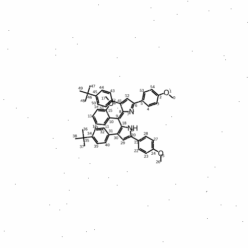 COc1ccc(C2=N/C(=C(/c3ccccc3OC)c3[nH]c(-c4ccc(OC)cc4)cc3-c3ccc(C(C)(C)C)cc3)C(c3ccc(C(C)(C)C)cc3)=C2)cc1